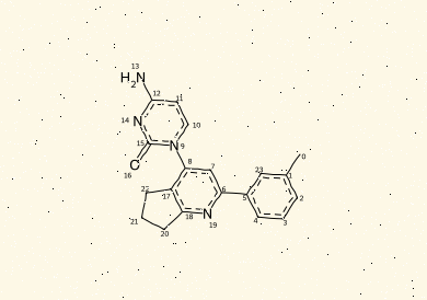 Cc1cccc(-c2cc(-n3ccc(N)nc3=O)c3c(n2)CCC3)c1